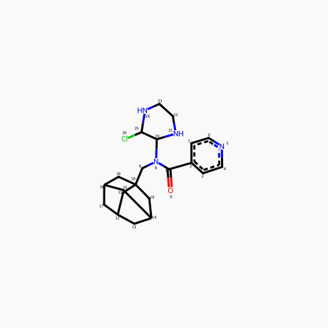 O=C(c1ccncc1)N(CC12CC3CC(CC(C3)C1)C2)C1NCCNC1Cl